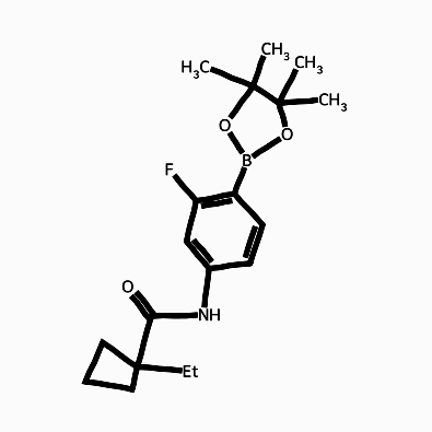 CCC1(C(=O)Nc2ccc(B3OC(C)(C)C(C)(C)O3)c(F)c2)CCC1